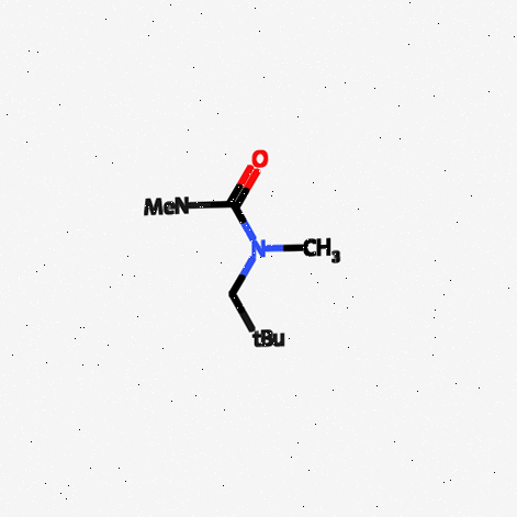 CNC(=O)N(C)CC(C)(C)C